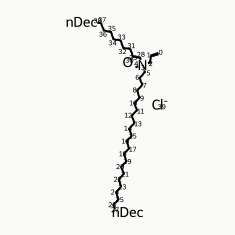 C=CC[N+](C)(CCCCCCCCCCCCCCCCCCCCCCCCCCCCCCCC)CC(=O)CCCCCCCCCCCCCCCCC.[Cl-]